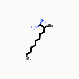 CC(C)(C)CCCCCCCCC(C(N)N)C(C)(C)C